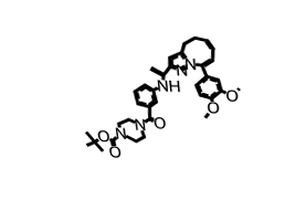 C=C(Nc1cccc(C(=O)N2CCN(C(=O)OC(C)(C)C)CC2)c1)c1cc2n(n1)/C(c1ccc(OC)c(OC)c1)=C\C=C/CC2